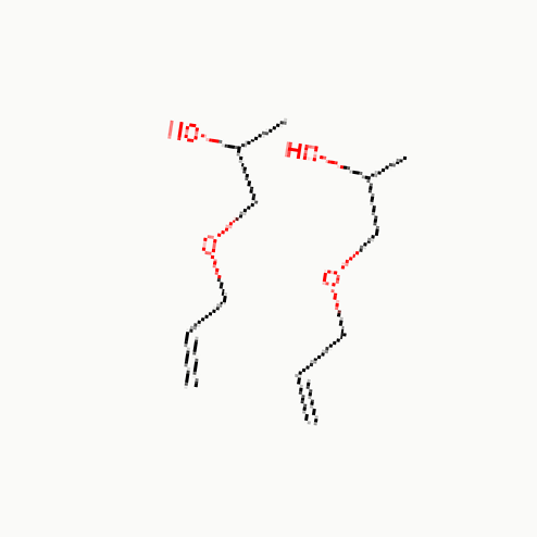 C=CCOCC(C)O.C=CCOCC(C)O